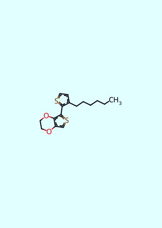 CCCCCCc1ccsc1-c1scc2c1OCCO2